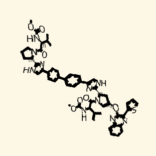 COC(=O)NC(C(=O)N1C[C@H](Oc2nc3ccccc3nc2-c2cccs2)C[C@H]1c1nc(-c2ccc(-c3ccc(-c4c[nH]c([C@@H]5CCCN5C(=O)[C@@H](NC(=O)OC)C(C)C)n4)cc3)cc2)c[nH]1)C(C)C